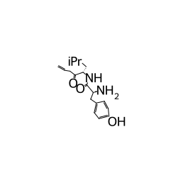 C=CCC(=O)[C@H](CC(C)C)NC(=O)[C@@H](N)Cc1ccc(O)cc1